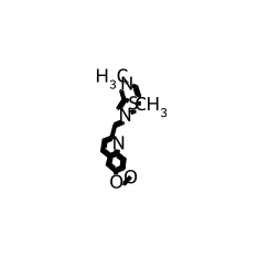 CN1C=CS2(C)CN(C=Cc3ccc4cc5c(cc4n3)OCO5)C=C2C1